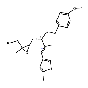 COc1ccc(CO[C@@H](CC2OC2(C)CO)/C(C)=C/c2csc(C)n2)cc1